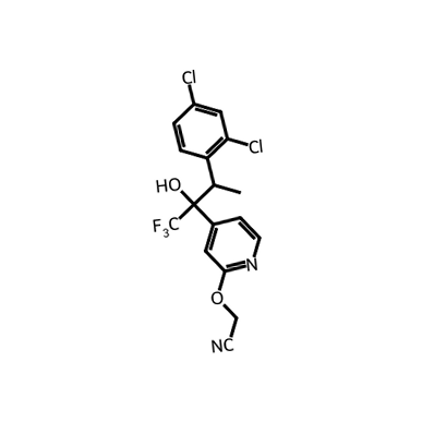 CC(c1ccc(Cl)cc1Cl)C(O)(c1ccnc(OCC#N)c1)C(F)(F)F